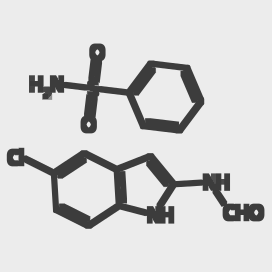 NS(=O)(=O)c1ccccc1.O=CNc1cc2cc(Cl)ccc2[nH]1